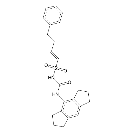 O=C(Nc1c2c(cc3c1CCC3)CCC2)NS(=O)(=O)/C=C/CCc1ccccc1